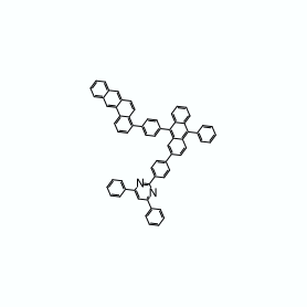 c1ccc(-c2cc(-c3ccccc3)nc(-c3ccc(-c4ccc5c(-c6ccccc6)c6ccccc6c(-c6ccc(-c7cccc8c7ccc7cc9ccccc9cc78)cc6)c5c4)cc3)n2)cc1